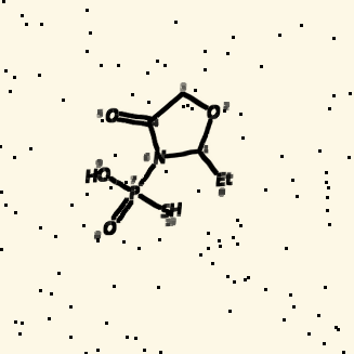 CCC1OCC(=O)N1P(=O)(O)S